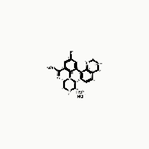 COC(=O)c1cc(F)cc(-c2cccc3c2OCNC3)c1N1CCOCC1.Cl.Cl